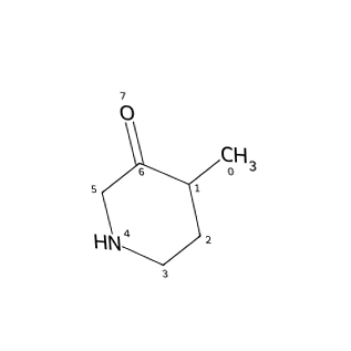 CC1CCNCC1=O